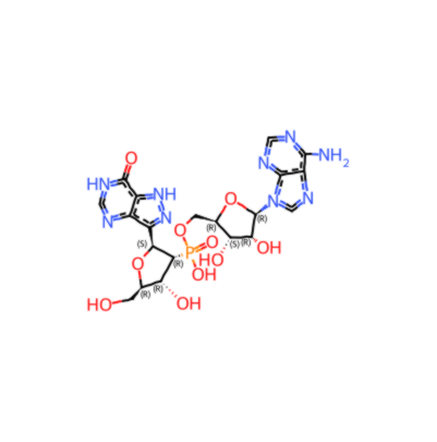 Nc1ncnc2c1ncn2[C@@H]1O[C@H](COP(=O)(O)[C@@H]2[C@H](O)[C@@H](CO)O[C@H]2c2n[nH]c3c(=O)[nH]cnc23)[C@@H](O)[C@H]1O